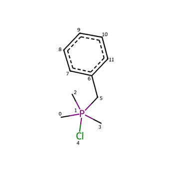 CP(C)(C)(Cl)Cc1ccccc1